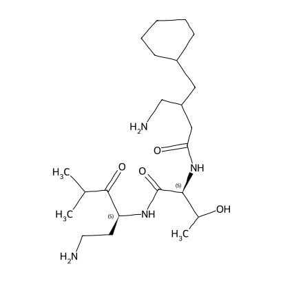 CC(C)C(=O)[C@H](CCN)NC(=O)[C@@H](NC(=O)CC(CN)CC1CCCCC1)C(C)O